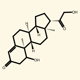 C[C@]12CC[C@H]3[C@@H](CCC4=CC(=O)CC(O)[C@@]43C)[C@@H]1CC[C@@H]2C(=O)CO